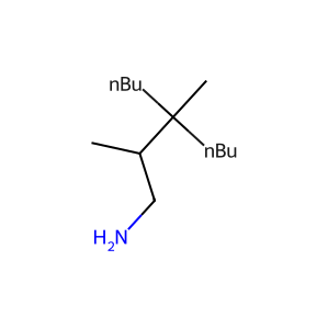 CCCCC(C)(CCCC)C(C)CN